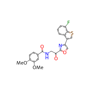 COc1ccc(C(=O)NCC(=O)c2nc(-c3csc4c(F)cccc34)co2)cc1OC